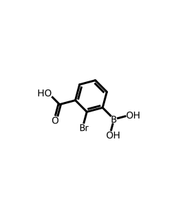 O=C(O)c1cccc(B(O)O)c1Br